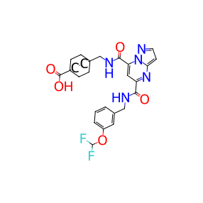 O=C(NCc1cccc(OC(F)F)c1)c1cc(C(=O)NCC23CCC(C(=O)O)(CC2)CC3)n2nccc2n1